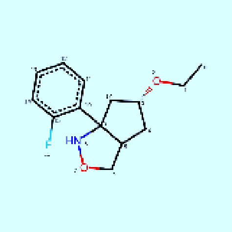 CCO[C@@H]1CC2CONC2(c2ccccc2F)C1